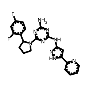 Nc1nc(Nc2cc(-c3ccccn3)[nH]n2)nc(N2CCCC2c2ccc(F)cc2F)n1